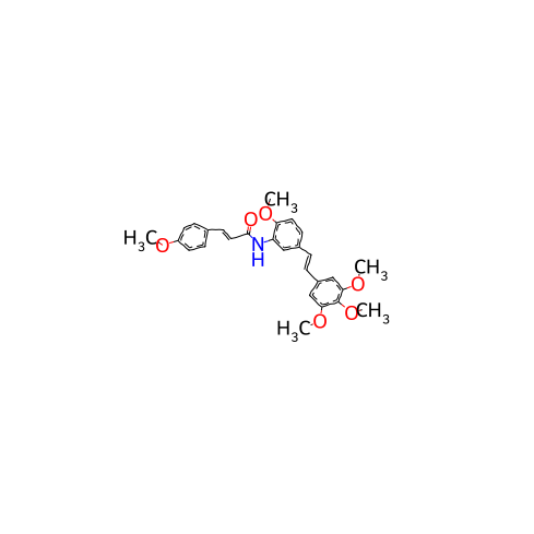 COc1ccc(/C=C/C(=O)Nc2cc(C=Cc3cc(OC)c(OC)c(OC)c3)ccc2OC)cc1